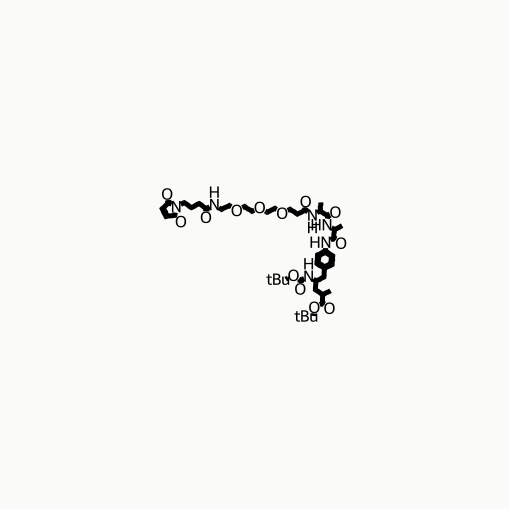 CC(CC(Cc1ccc(NC(=O)C(C)NC(=O)C(C)NC(=O)CCOCCOCCOCCNC(=O)CCCN2C(=O)C=CC2=O)cc1)NC(=O)OC(C)(C)C)C(=O)OC(C)(C)C